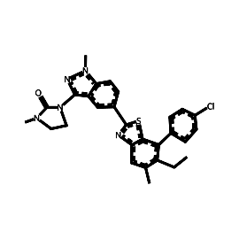 CCc1c(C)cc2nc(-c3ccc4c(c3)c(N3CCN(C)C3=O)nn4C)sc2c1-c1ccc(Cl)cc1